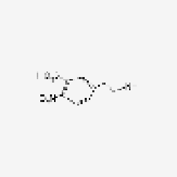 [NH]CCc1ccc([N+](=O)[O-])c(S(=O)(=O)O)c1